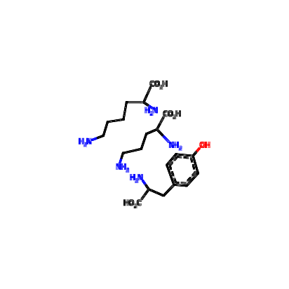 NC(Cc1ccc(O)cc1)C(=O)O.NCCCC(N)C(=O)O.NCCCCC(N)C(=O)O